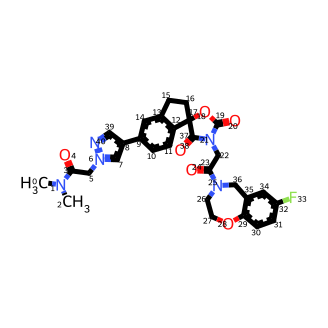 CN(C)C(=O)Cn1cc(-c2ccc3c(c2)CCC32OC(=O)N(CC(=O)N3CCOc4ccc(F)cc4C3)C2=O)cn1